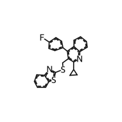 Fc1ccc(-c2c(CSc3nc4ccccc4s3)c(C3CC3)nc3ccccc23)cc1